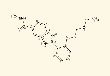 CCOCCOc1ccccc1-c1nc2ccc(C(=O)NO)cc2[nH]1